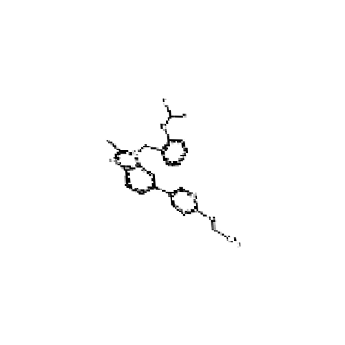 Cc1nc2ccc(-c3ccc(OCC(F)(F)F)nc3)cc2n1Cc1ccccc1OC(F)F